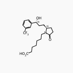 O=C(O)CCCCCCN1C(=O)CC[C@@H]1CC[C@@H](O)c1cccc(C(F)(F)F)c1